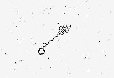 O=S(=O)(O)OSCCCCCOc1ccccc1